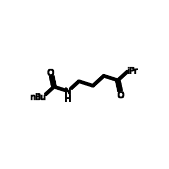 CCCCC(=O)NCCCC(=O)C(C)C